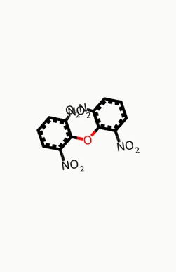 O=[N+]([O-])c1cccc([N+](=O)[O-])c1Oc1c([N+](=O)[O-])cccc1[N+](=O)[O-]